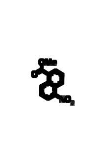 COC(=O)c1cccc2c([N+](=O)[O-])cccc12